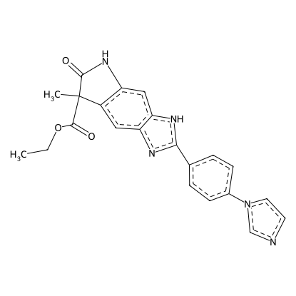 CCOC(=O)C1(C)C(=O)Nc2cc3[nH]c(-c4ccc(-n5ccnc5)cc4)nc3cc21